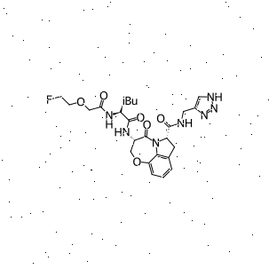 CC[C@H](C)[C@H](NC(=O)COCCF)C(=O)N[C@H]1COc2cccc3c2N(C1=O)[C@H](C(=O)NCc1c[nH]nn1)C3